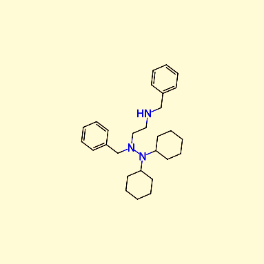 c1ccc(CNCCN(Cc2ccccc2)N(C2CCCCC2)C2CCCCC2)cc1